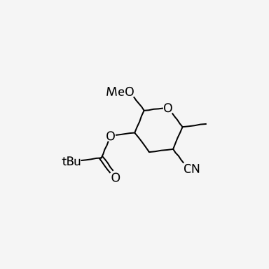 COC1OC(C)C(C#N)CC1OC(=O)C(C)(C)C